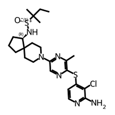 CCC(C)(C)[S@@+]([O-])N[C@@H]1CCCC12CCN(c1cnc(Sc3ccnc(N)c3Cl)c(C)n1)CC2